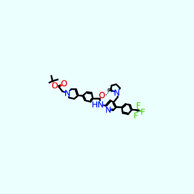 C[C@@H]1CCCN1Cc1cc(NC(=O)c2ccc(C3=CCN(CC(=O)OC(C)(C)C)CC3)cc2)ncc1-c1ccc(C(F)(F)F)cc1